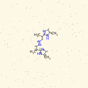 CC1CN=C(C(C)C/N=N/CC(C)C2=NCC(C)N2)N1